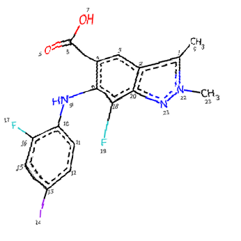 Cc1c2cc(C(=O)O)c(Nc3ccc(I)cc3F)c(F)c2nn1C